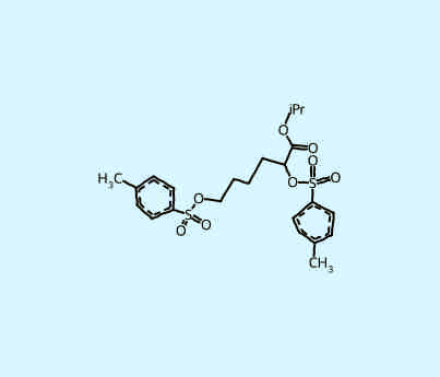 Cc1ccc(S(=O)(=O)OCCCCC(OS(=O)(=O)c2ccc(C)cc2)C(=O)OC(C)C)cc1